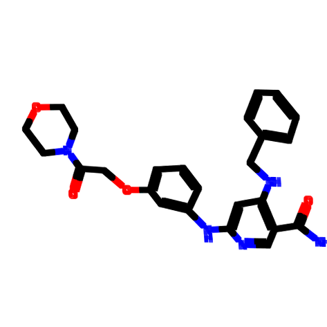 NC(=O)c1cnc(Nc2cccc(OCC(=O)N3CCOCC3)c2)cc1NCc1ccccc1